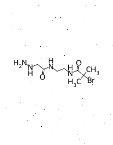 CC(C)(Br)C(=O)NCCNC(=O)CNN